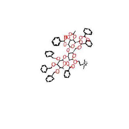 CC(=O)O[C@@H]1[C@H](O)[C@@H](OC(=O)c2ccccc2)[C@H](O[C@@H]2[C@H](OC3O[C@@H](C)[C@@H](OCc4ccccc4)[C@@H](OCc4ccccc4)[C@@H]3OCc3ccccc3)[C@@H](OC(=O)c3ccccc3)[C@H](OCC[Si](C)(C)C)O[C@@H]2COC(=O)c2ccccc2)O[C@@H]1COC(=O)c1ccccc1